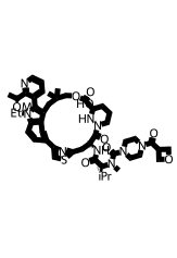 CCn1c(-c2cccnc2[C@H](C)OC)c2c3cc(ccc31)-c1csc(n1)C[C@H](NC(=O)[C@H](C(C)C)N(C)C(=O)N1CCN(C(=O)C3COC3)CC1)C(=O)N1CCC[C@@](O)(N1)C(=O)OCC(C)(C)C2